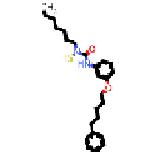 CCCCCCCN(S)C(=O)Nc1cccc(OCCCCCc2ccccc2)c1